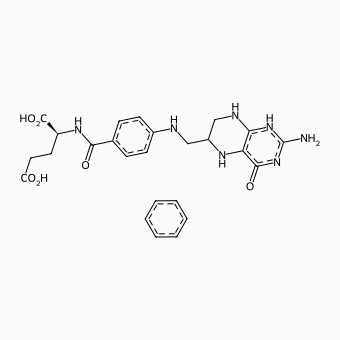 Nc1nc(=O)c2c([nH]1)NCC(CNc1ccc(C(=O)N[C@@H](CCC(=O)O)C(=O)O)cc1)N2.c1ccccc1